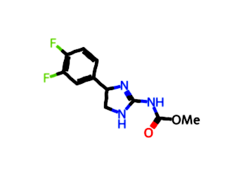 COC(=O)NC1=NC(c2ccc(F)c(F)c2)CN1